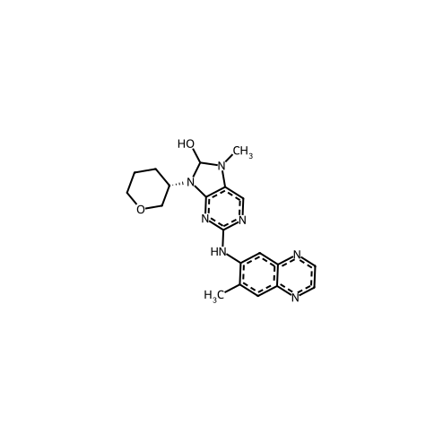 Cc1cc2nccnc2cc1Nc1ncc2c(n1)N([C@H]1CCCOC1)C(O)N2C